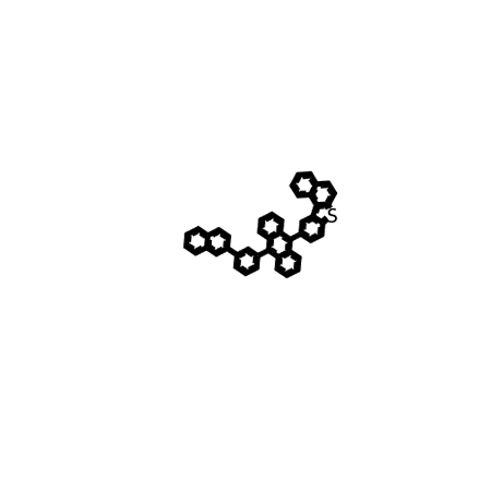 c1cc(-c2ccc3ccccc3c2)cc(-c2c3ccccc3c(-c3ccc4sc5ccc6ccccc6c5c4c3)c3ccccc23)c1